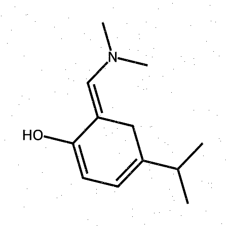 CC(C)C1=CC=C(O)C(=CN(C)C)C1